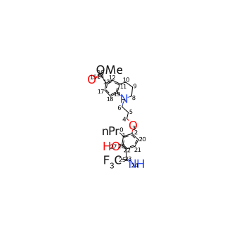 CCCc1c(OCCCN2CCCc3cc(C(=O)OC)ccc32)ccc(C(=N)C(F)(F)F)c1O